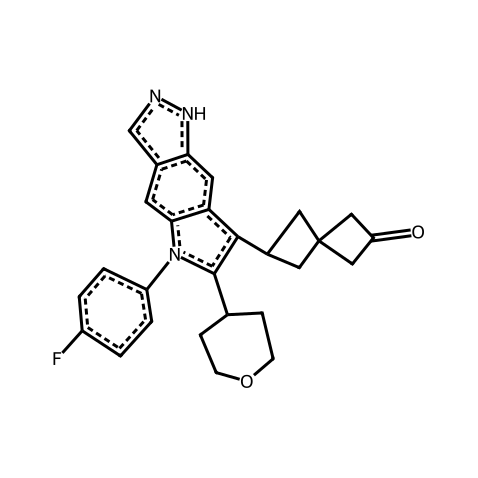 O=C1CC2(C1)CC(c1c(C3CCOCC3)n(-c3ccc(F)cc3)c3cc4cn[nH]c4cc13)C2